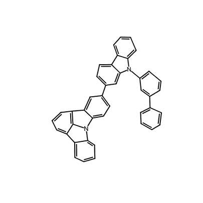 c1ccc(-c2cccc(-n3c4ccccc4c4ccc(-c5ccc6c(c5)c5cccc7c8ccccc8n6c75)cc43)c2)cc1